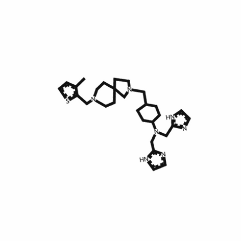 Cc1ccsc1CN1CCC2(CC1)CCN(CC1CCC(N(Cc3ncc[nH]3)Cc3ncc[nH]3)CC1)C2